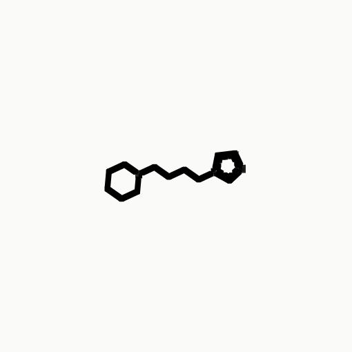 [c]1cn(CCCCN2CCCCC2)cn1